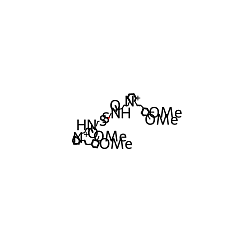 COc1ccc(/C=C/c2cccc[n+]2CCCC(=O)NCCSSCCNC(=O)CCC[n+]2ccccc2/C=C/c2ccc(OC)c(OC)c2)cc1OC